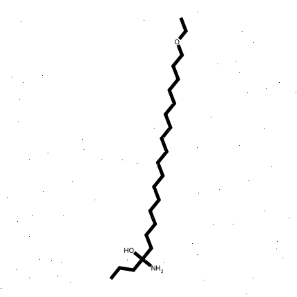 CCCC(N)(O)CCCCCCCCCCCCCCCCCOCC